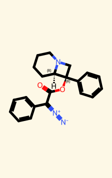 [N-]=[N+]=C(C(=O)O[C@]1(c2ccccc2)CN2CCCC[C@@H]21)c1ccccc1